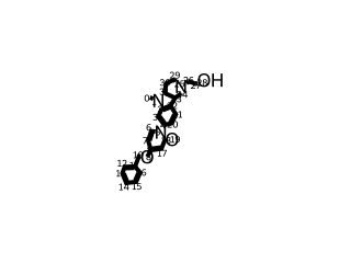 CN1c2cc(-n3ccc(OCc4ccccc4)cc3=O)ccc2C2CN(CCO)CCC21